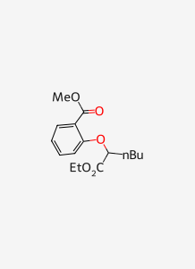 CCCCC(Oc1ccccc1C(=O)OC)C(=O)OCC